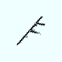 CCCCCCCCCCCOC(=O)CCCCCN(CCCCCCCC(=O)OC(CCCCCCCC)CCCCCCCC)CC(O)CCCCN